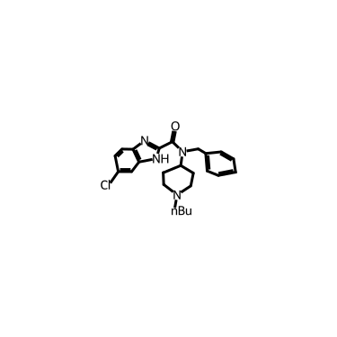 CCCCN1CCC(N(Cc2ccccc2)C(=O)c2nc3ccc(Cl)cc3[nH]2)CC1